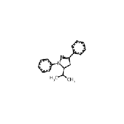 CC(C)C1CC(c2ccccc2)=NN1c1ccccc1